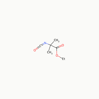 CCOC(=O)C(C)(C)N=C=O